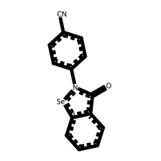 N#Cc1ccc(-n2[se]c3ccccc3c2=O)cc1